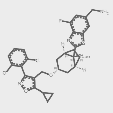 C[C@H]1C[C@@H]2C[C@@H](OCc3c(-c4c(Cl)cccc4Cl)noc3C3CC3)C[C@H]1[C@]2(O)c1nc2c(F)cc(CN)cc2s1